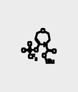 CC(C)(C)OC(=O)N1CCOCC=C1OS(=O)(=O)C(F)(F)F